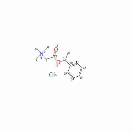 CC(OC(=O)C[N+](C)(C)C)c1ccccc1.[Cl-]